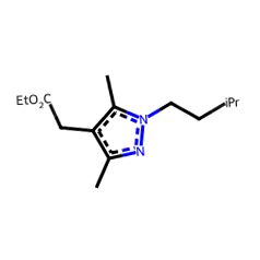 CCOC(=O)Cc1c(C)nn(CCC(C)C)c1C